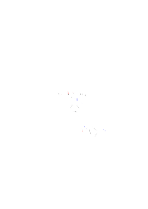 COC(=O)C(N)(Cc1ccc(OCC2CN(c3cccc(CN)c3)C(=O)O2)cc1)C(=O)OC(C)(C)C